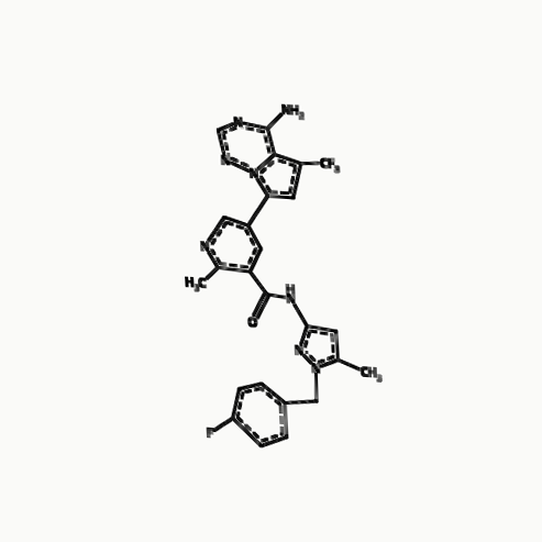 Cc1ncc(-c2cc(C(F)(F)F)c3c(N)ncnn23)cc1C(=O)Nc1cc(C)n(Cc2ccc(F)cc2)n1